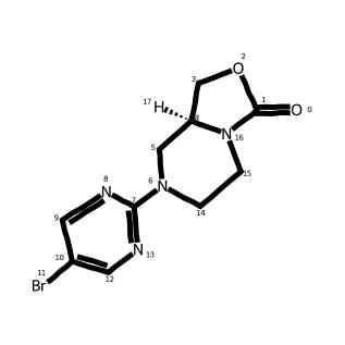 O=C1OC[C@@H]2CN(c3ncc(Br)cn3)CCN12